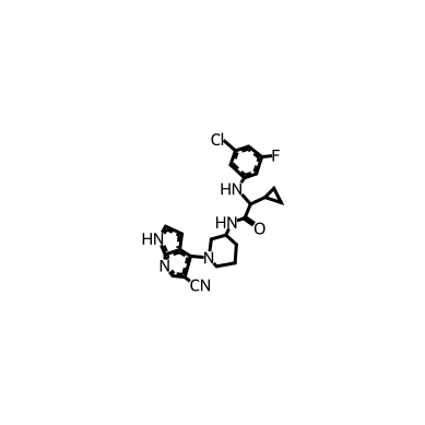 N#Cc1cnc2[nH]ccc2c1N1CCCC(NC(=O)C(Nc2cc(F)cc(Cl)c2)C2CC2)C1